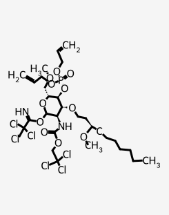 C=CCOP(=O)(OCC=C)O[C@H]1[C@H](OCC[C@@H](CCCCCCC)OC)[C@@H](NC(=O)OCC(Cl)(Cl)Cl)C(OC(=N)C(Cl)(Cl)Cl)O[C@@H]1COC